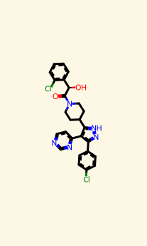 O=C([C@H](O)c1ccccc1Cl)N1CCC(c2[nH]nc(-c3ccc(Cl)cc3)c2-c2ccncn2)CC1